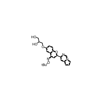 CC(C)(C)ON=c1cc(-c2cc3cccn3cn2)oc2ccc(OCC(O)CO)cc12